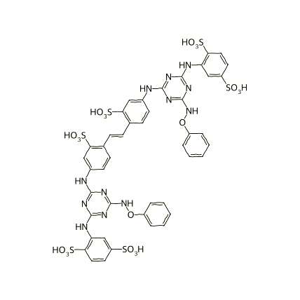 O=S(=O)(O)c1ccc(S(=O)(=O)O)c(Nc2nc(NOc3ccccc3)nc(Nc3ccc(C=Cc4ccc(Nc5nc(NOc6ccccc6)nc(Nc6cc(S(=O)(=O)O)ccc6S(=O)(=O)O)n5)cc4S(=O)(=O)O)c(S(=O)(=O)O)c3)n2)c1